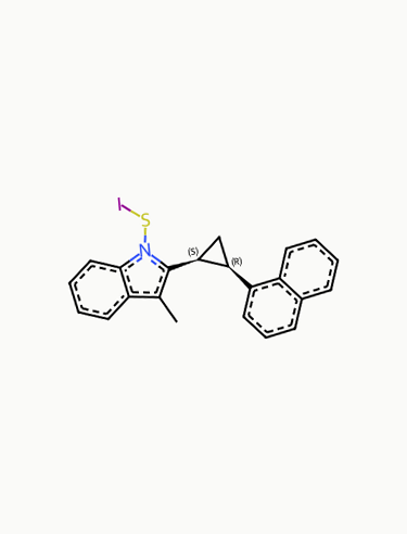 Cc1c([C@H]2C[C@H]2c2cccc3ccccc23)n(SI)c2ccccc12